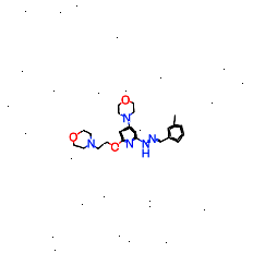 Cc1cccc(C=NNc2cc(N3CCOCC3)cc(OCCN3CCOCC3)n2)c1